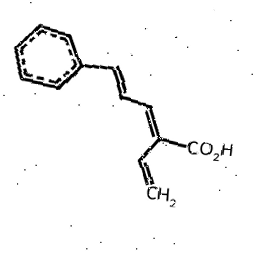 C=CC(=CC=Cc1ccccc1)C(=O)O